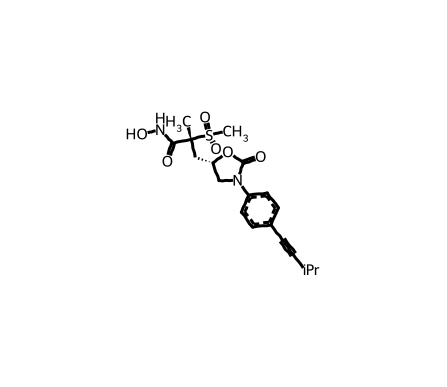 CC(C)C#Cc1ccc(N2C[C@H](C[C@](C)(C(=O)NO)S(C)(=O)=O)OC2=O)cc1